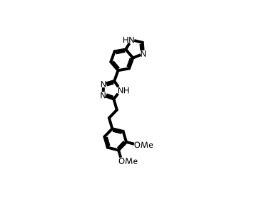 COc1ccc(CCc2nnc(-c3ccc4[nH]cnc4c3)[nH]2)cc1OC